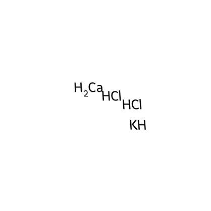 Cl.Cl.[CaH2].[KH]